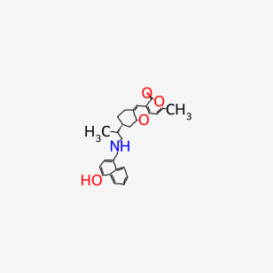 Cc1cc2c(c(=O)o1)C=C1CC[C@H](C(C)CNCc3ccc(O)c4ccccc34)CC1O2